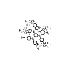 CC(C)(C)c1ccc(N2c3ccc(C(C)(C)C)cc3B3c4sc5ccc(C(C)(C)C)cc5c4N(c4ccc(C(C)(C)C)cc4)c4cc(N(c5ccc(C#N)cc5)c5ccc(C#N)cc5)cc2c43)cc1